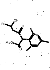 CCC(C)C(O)CC(=O)C(C(=O)OC)c1c(C)cc(C)cc1C